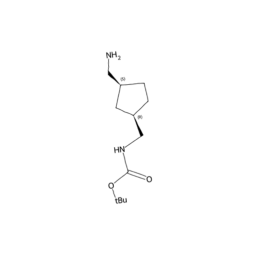 CC(C)(C)OC(=O)NC[C@@H]1CC[C@H](CN)C1